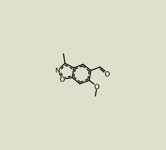 COc1cc2onc(C)c2cc1C=O